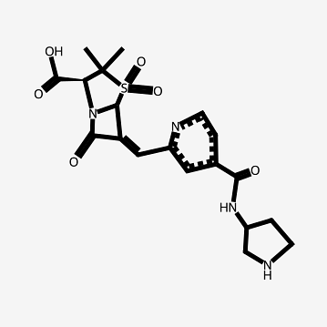 CC1(C)[C@H](C(=O)O)N2C(=O)/C(=C/c3cc(C(=O)NC4CCNC4)ccn3)C2S1(=O)=O